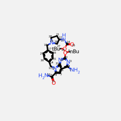 CCCCOc1nc(N)c2cc(C(N)=O)n(Cc3ccc(CN4CCC(NC(=O)OC(C)(C)C)C4)cc3)c2n1